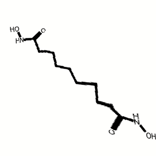 O=C(CCCCCCCCC(=O)NO)NO